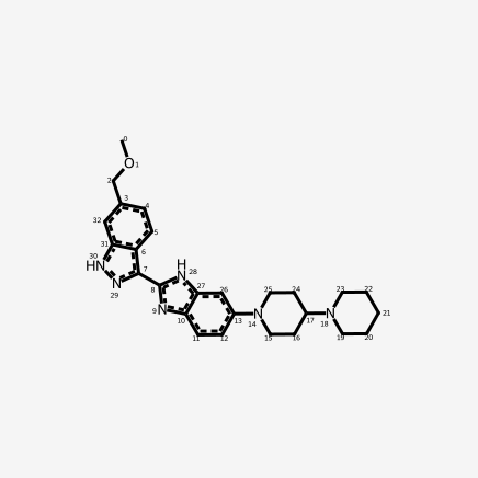 COCc1ccc2c(-c3nc4ccc(N5CCC(N6CCCCC6)CC5)cc4[nH]3)n[nH]c2c1